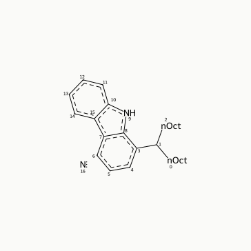 CCCCCCCCC(CCCCCCCC)c1cccc2c1[nH]c1ccccc12.[N]